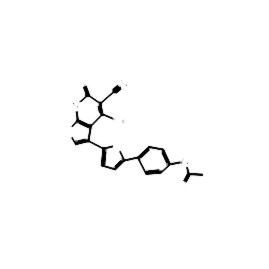 CC(=O)Nc1ccc(-c2ccc(-c3csc4[nH]c(=O)c(C#N)c(O)c34)s2)cc1